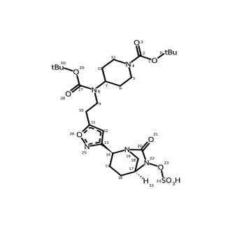 CC(C)(C)OC(=O)N1CCC(N(CCc2cc([C@@H]3CC[C@H]4CN3C(=O)N4OS(=O)(=O)O)no2)C(=O)OC(C)(C)C)CC1